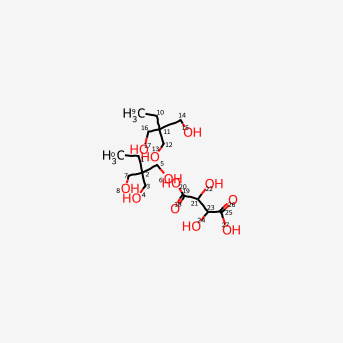 CCC(CO)(CO)CO.CCC(CO)(CO)CO.O=C(O)C(O)C(O)C(=O)O